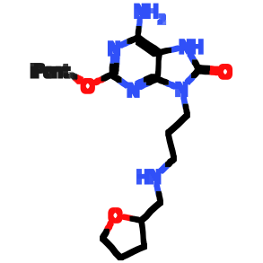 CCC[C@H](C)Oc1nc(N)c2[nH]c(=O)n(CCCNCC3CCCO3)c2n1